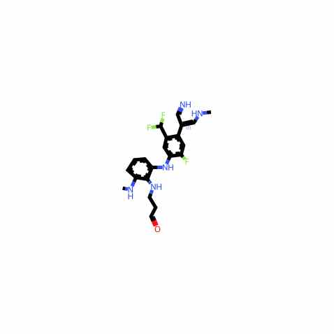 CN/C=C(\C=N)c1cc(F)c(Nc2cccc(NC)c2NCCC=O)cc1C(F)F